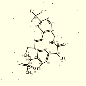 CCC/C=C/c1nc(C(F)(F)F)ccc1CNC(=O)C(C)c1ccc(NS(C)(=O)=O)c(F)c1